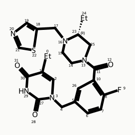 CCc1cn(Cc2ccc(F)c(C(=O)N3CCN(Cc4cncs4)[C@H](CC)C3)c2)c(=O)[nH]c1=O